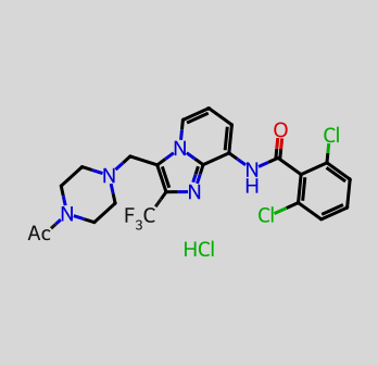 CC(=O)N1CCN(Cc2c(C(F)(F)F)nc3c(NC(=O)c4c(Cl)cccc4Cl)cccn23)CC1.Cl